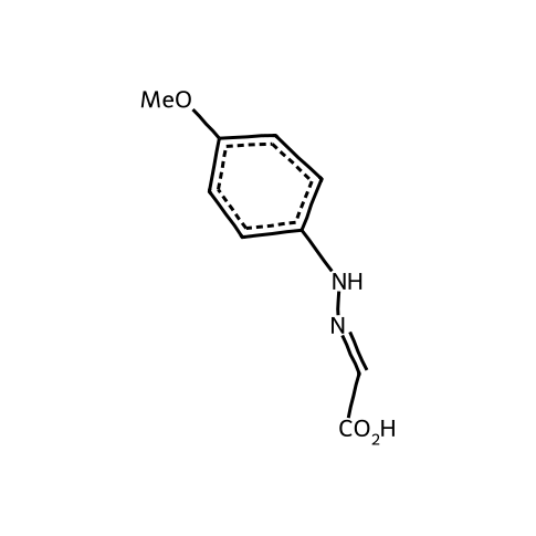 COc1ccc(NN=CC(=O)O)cc1